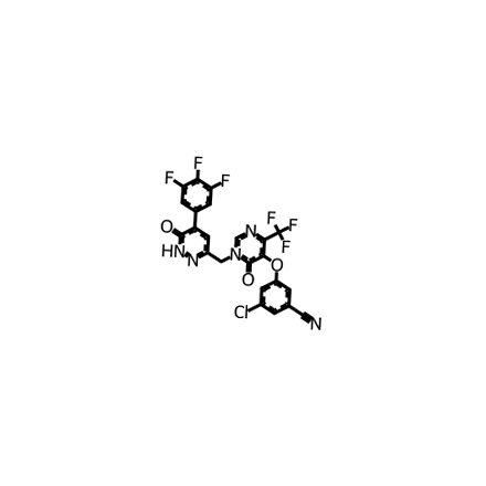 N#Cc1cc(Cl)cc(Oc2c(C(F)(F)F)ncn(Cc3cc(-c4cc(F)c(F)c(F)c4)c(=O)[nH]n3)c2=O)c1